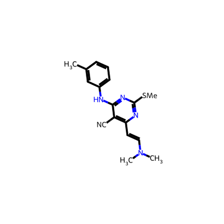 CSc1nc(/C=C/N(C)C)c(C#N)c(Nc2cccc(C)c2)n1